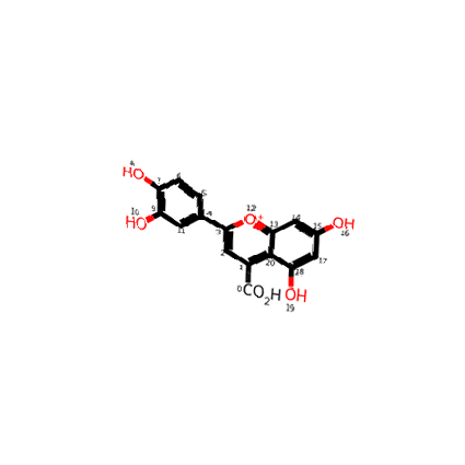 O=C(O)c1cc(-c2ccc(O)c(O)c2)[o+]c2cc(O)cc(O)c12